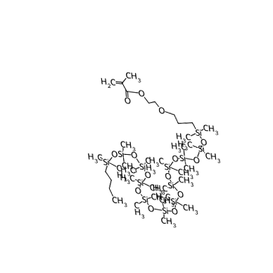 C=C(C)C(=O)OCCOCCC[Si](C)(C)O[Si](C)(C)O[Si](C)(C)O[Si](C)(C)O[Si](C)(C)O[Si](C)(C)O[Si](C)(C)O[Si](C)(C)O[Si](C)(C)O[Si](C)(C)O[Si](C)(C)O[Si](C)(C)CCCC